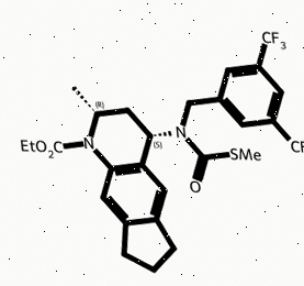 CCOC(=O)N1c2cc3c(cc2[C@@H](N(Cc2cc(C(F)(F)F)cc(C(F)(F)F)c2)C(=O)SC)C[C@H]1C)CCC3